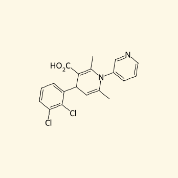 CC1=CC(c2cccc(Cl)c2Cl)C(C(=O)O)=C(C)N1c1cccnc1